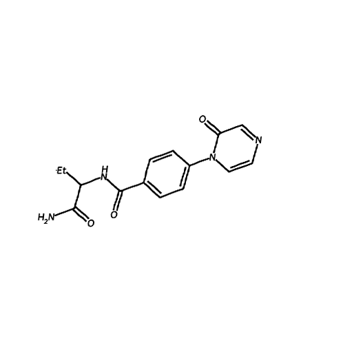 C[CH]C(NC(=O)c1ccc(-n2ccncc2=O)cc1)C(N)=O